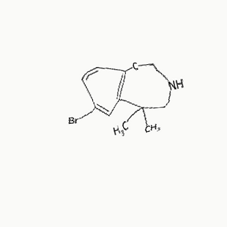 CC1(C)CNCCc2ccc(Br)cc21